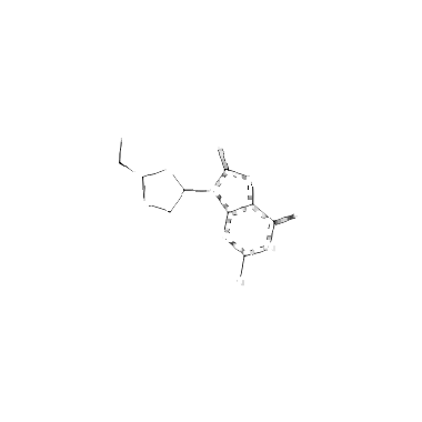 Nc1nc2c(sc(=O)n2C2CS[C@@H](CO)O2)c(=O)[nH]1